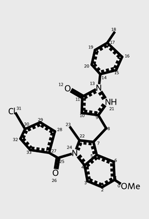 COc1ccc2c(c1)c(Cc1cc(=O)n(-c3ccc(C)cc3)[nH]1)c(C)n2C(=O)c1ccc(Cl)cc1